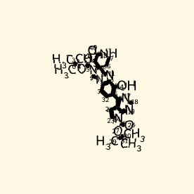 CC(C)(C)OC(=O)N1Cn2c(nc3c(O)c(-c4ncnc5c4ccn5C(=O)OC(C)(C)C)ccc32)[C@]12CCNC(=O)C2